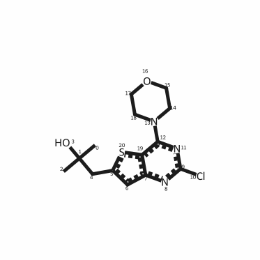 CC(C)(O)Cc1cc2nc(Cl)nc(N3CCOCC3)c2s1